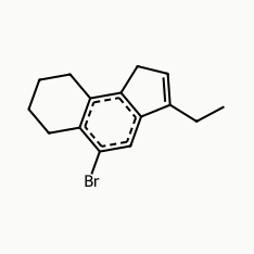 CCC1=CCc2c1cc(Br)c1c2CCCC1